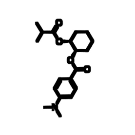 CC(C)C(=O)O[C@H]1CCCC[C@H]1OC(=O)c1ccc(N(C)C)cc1